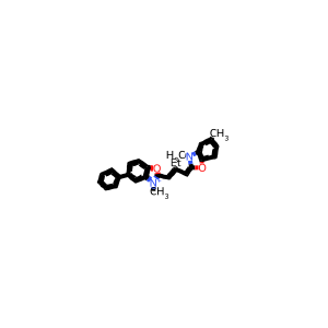 CC/C(C=C1Oc2ccc(C)cc2N1C)=C\c1oc2ccc(-c3ccccc3)cc2[n+]1C